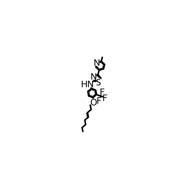 CCCCC=CCCOc1ccc(Nc2nc(-c3ccc(C)nc3)cs2)cc1C(F)(F)F